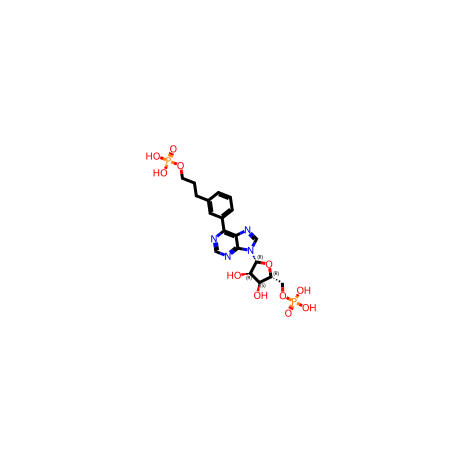 O=P(O)(O)OCCCc1cccc(-c2ncnc3c2ncn3[C@@H]2O[C@H](COP(=O)(O)O)[C@@H](O)[C@H]2O)c1